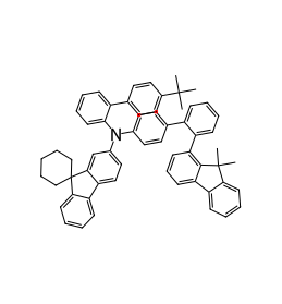 CC(C)(C)c1ccc(-c2ccccc2N(c2ccc(-c3ccccc3-c3cccc4c3C(C)(C)c3ccccc3-4)cc2)c2ccc3c(c2)C2(CCCCC2)c2ccccc2-3)cc1